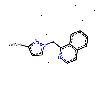 CC(=O)Nc1ccn(Cc2nccc3ccccc23)n1